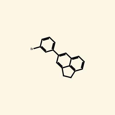 Brc1cccc(-c2cc3c4c(cccc4c2)CC3)c1